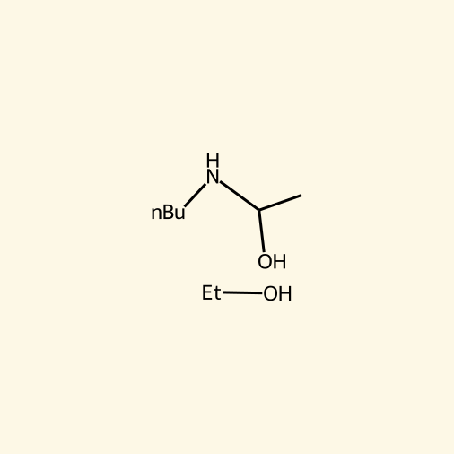 CCCCNC(C)O.CCO